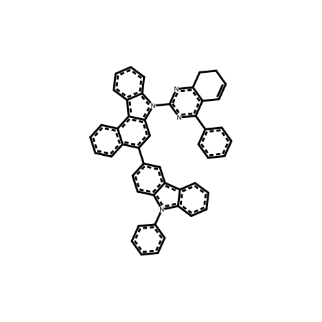 C1=Cc2c(nc(-n3c4ccccc4c4c5ccccc5c(-c5ccc6c(c5)c5ccccc5n6-c5ccccc5)cc43)nc2-c2ccccc2)CC1